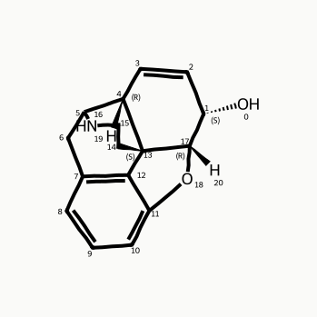 O[C@H]1C=C[C@H]2C3Cc4cccc5c4[C@@]2(CCN3)[C@H]1O5